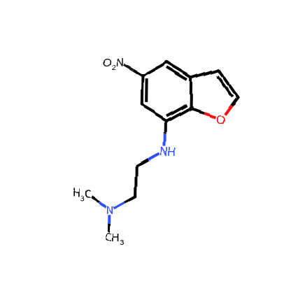 CN(C)CCNc1cc([N+](=O)[O-])cc2ccoc12